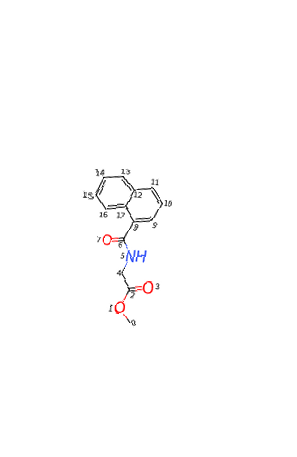 COC(=O)CNC(=O)c1cccc2ccccc12